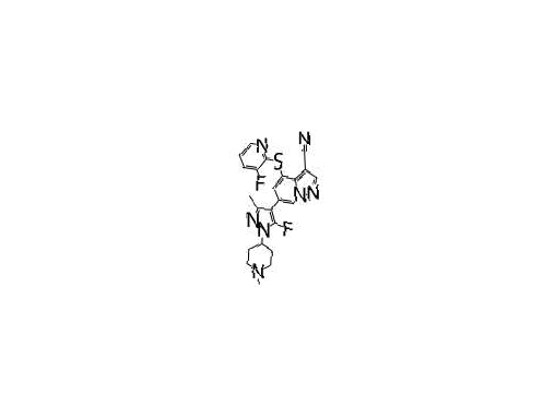 Cc1nn(C2CCN(C)CC2)c(F)c1-c1cc(Sc2ncccc2F)c2c(C#N)cnn2c1